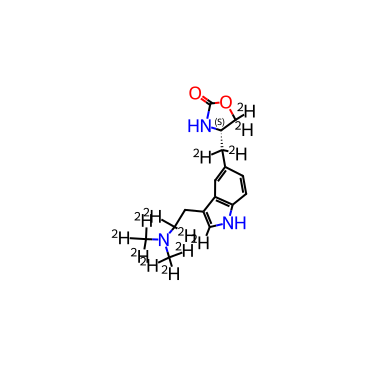 [2H]c1[nH]c2ccc(C([2H])([2H])[C@@H]3NC(=O)OC3([2H])[2H])cc2c1CC([2H])([2H])N(C([2H])([2H])[2H])C([2H])([2H])[2H]